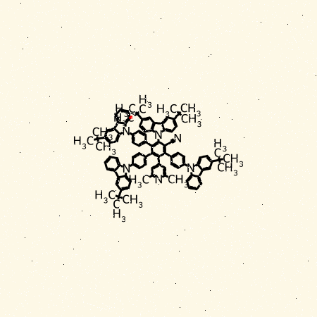 Cc1cc(-c2c(-c3ccc(-n4c5ccccc5c5cc(C(C)(C)C)ccc54)cc3)c(C#N)c(-n3c4ccc(C(C)(C)C)cc4c4cc(C(C)(C)C)ccc43)c(-c3ccc(-n4c5ccccc5c5cc(C(C)(C)C)ccc54)cc3)c2-c2ccc(-n3c4ccccc4c4cc(C(C)(C)C)ccc43)cc2)cc(C)n1